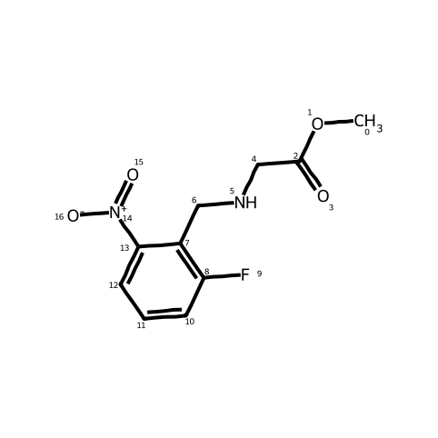 COC(=O)CNCc1c(F)cccc1[N+](=O)[O-]